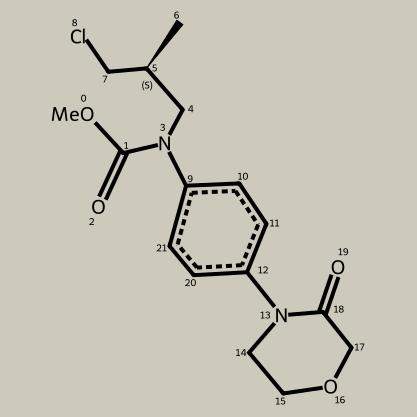 COC(=O)N(C[C@H](C)CCl)c1ccc(N2CCOCC2=O)cc1